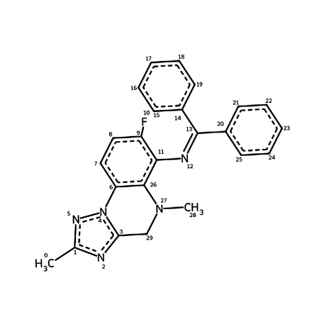 Cc1nc2n(n1)-c1ccc(F)c(N=C(c3ccccc3)c3ccccc3)c1N(C)C2